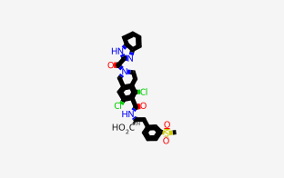 CS(=O)(=O)c1cccc(C[C@H](NC(=O)c2c(Cl)cc3c(c2Cl)CCN(C(=O)C2=NC4C=CC=CC4N2)C3)C(=O)O)c1